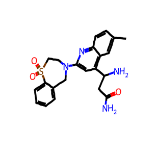 Cc1ccc2nc(N3CCS(=O)(=O)c4ccccc4C3)cc(C(N)CC(N)=O)c2c1